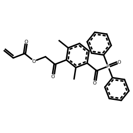 C=CC(=O)OCC(=O)c1c(C)ccc(C(=O)P(=O)(c2ccccc2)c2ccccc2)c1C